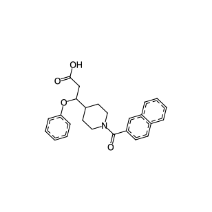 O=C(O)CC(Oc1ccccc1)C1CCN(C(=O)c2ccc3ccccc3c2)CC1